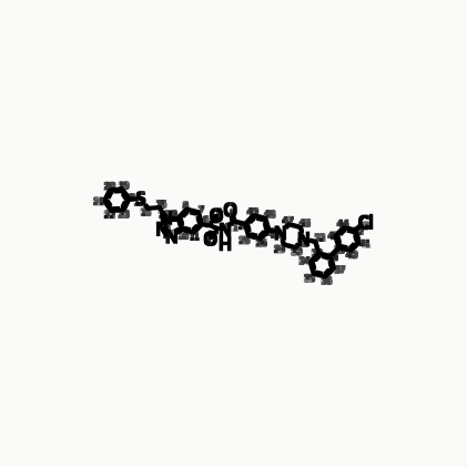 O=C(NS(=O)(=O)c1ccc2c(c1)nnn2CCSc1ccccc1)c1ccc(N2CCN(Cc3ccccc3-c3ccc(Cl)cc3)CC2)cc1